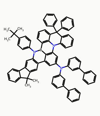 CC(C)(C)c1ccc(N2B3c4cccc5c4N(c4ccccc4C5(c4ccccc4)c4ccccc4)c4cc(N(c5cccc(-c6ccccc6)c5)c5cccc(-c6ccccc6)c5)cc(c43)-c3cc4c(cc32)-c2ccccc2C4(C)C)cc1